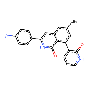 CC(C)(C)c1cc(-c2ccc[nH]c2=O)c2c(=O)[nH]c(-c3ccc(N)cc3)cc2c1